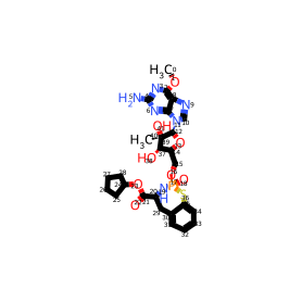 COc1nc(N)nc2c1ncn2[C@@H]1OC(CO[P@]2(=O)NC(C(=O)OC3CCCC3)Cc3ccccc3S2)[C@@H](O)[C@@]1(C)O